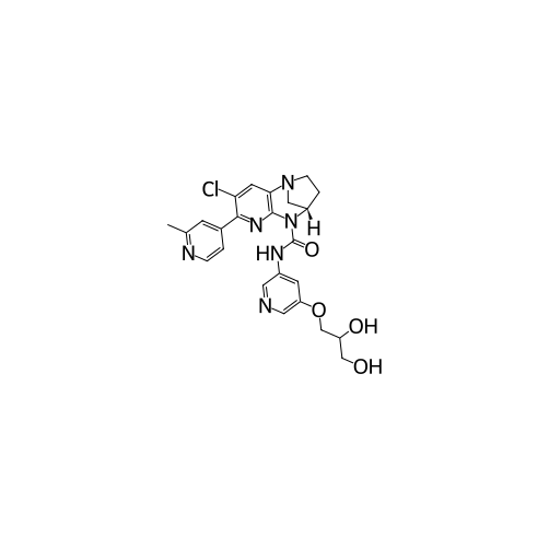 Cc1cc(-c2nc3c(cc2Cl)N2CC[C@@H](C2)N3C(=O)Nc2cncc(OCC(O)CO)c2)ccn1